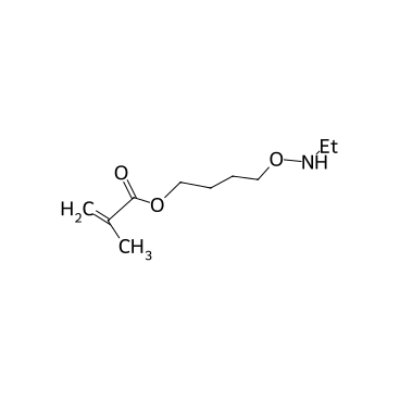 C=C(C)C(=O)OCCCCONCC